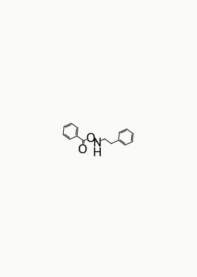 O=C(ONCCc1ccccc1)c1ccccc1